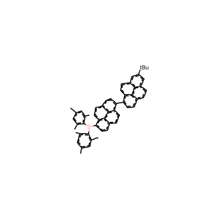 Cc1cc(C)c(B(c2c(C)cc(C)cc2C)c2ccc3ccc4c(-c5ccc6ccc7cc(C(C)(C)C)cc8ccc5c6c78)ccc5ccc2c3c54)c(C)c1